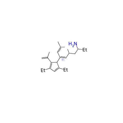 C=C(C)C1=C(CC)C=C(CC)C1/C(C=C(C)C)=C/C(C)CC(N)CC